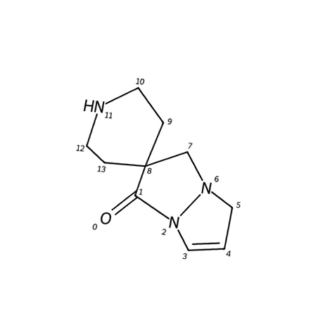 O=C1N2C=CCN2CC12CCNCC2